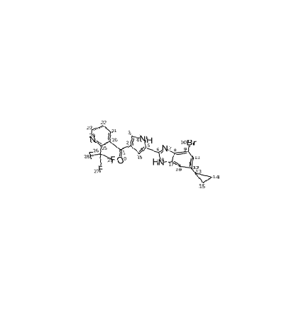 O=C(c1c[nH]c(-c2nc3c(Br)cc(C4CC4)cc3[nH]2)c1)c1cccnc1C(F)(F)F